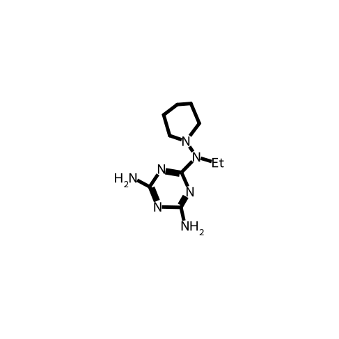 CCN(c1nc(N)nc(N)n1)N1CCCCC1